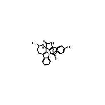 Cc1ccc(S(=O)(=O)n2c3c(c4ccccc42)CCC(C)NC32C(=O)Nc3ccc(Br)cc32)cc1